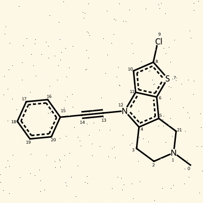 CN1CCc2c(c3sc(Cl)cc3n2C#Cc2ccccc2)C1